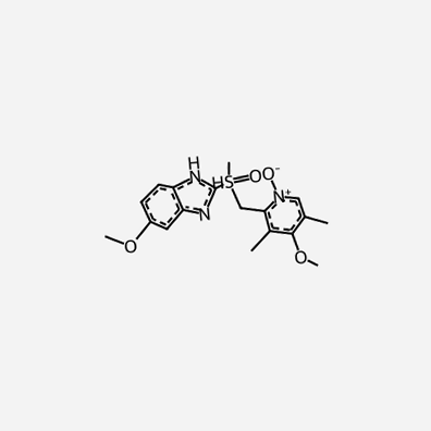 COc1ccc2[nH]c([SH](C)(=O)Cc3c(C)c(OC)c(C)c[n+]3[O-])nc2c1